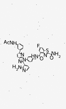 CC(=O)Nc1cccc(-c2ccc3nc(-c4cccnc4N)n(-c4ccc(CNC(=O)c5cc(F)cc6sc(C(N)=O)nc56)cc4)c3n2)c1